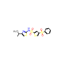 CC(=O)OC(C)c1csc(NS(=O)(=O)c2cc(S(=O)(=O)c3ccccc3)cs2)n1